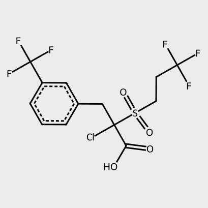 O=C(O)C(Cl)(Cc1cccc(C(F)(F)F)c1)S(=O)(=O)CCC(F)(F)F